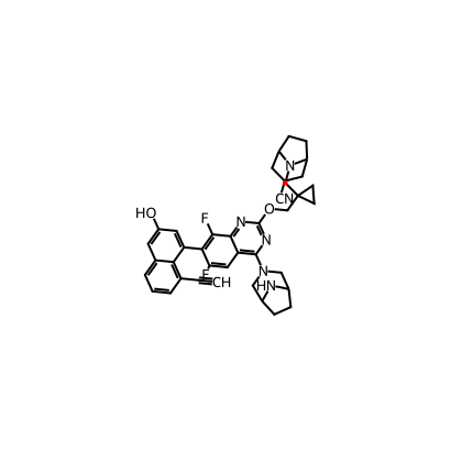 C#Cc1cccc2cc(O)cc(-c3c(F)cc4c(N5CC6CCC(C5)N6)nc(OCC5(CN6C7CCC6CC(C#N)C7)CC5)nc4c3F)c12